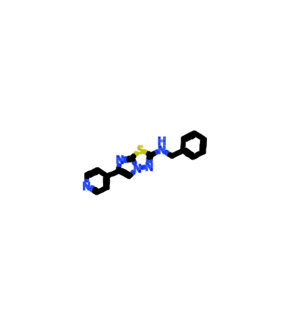 c1ccc(CNc2nn3cc(-c4ccncc4)nc3s2)cc1